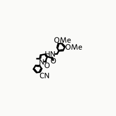 COc1cc(CNC(=O)c2ccc(C)n(-c3cccc(C#N)c3)c2=O)cc(OC)c1